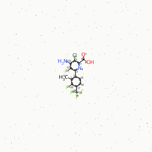 Cc1c(-c2nc(C(=O)O)c(Cl)c(N)c2F)ccc(C(F)(F)F)c1F